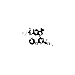 CC(=O)Nc1cc2c(cn1)C1(CC1)CN2c1cc(Oc2cncnc2)nc(C(C)(F)F)n1